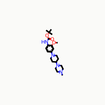 COc1cc(N2CCC(N3CCN(C)CC3)CC2)ccc1NC(=O)OC(C)(C)C